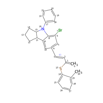 C=C(/C=C/c1cc(Br)c2c(c1)C1CCCC1N2c1ccccc1)Sc1ccccc1C